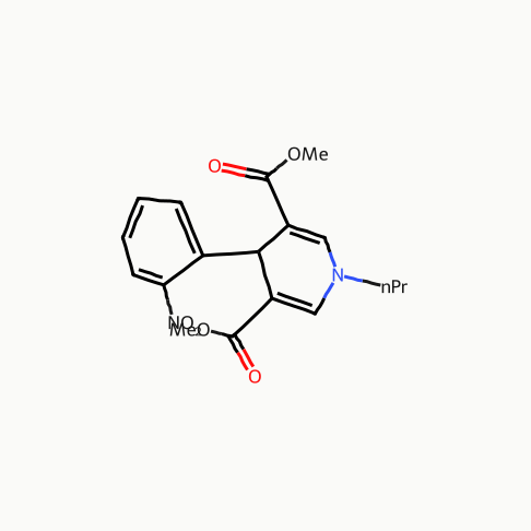 CCCN1C=C(C(=O)OC)C(c2ccccc2[N+](=O)[O-])C(C(=O)OC)=C1